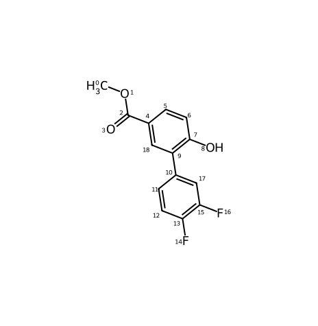 COC(=O)c1ccc(O)c(-c2ccc(F)c(F)c2)c1